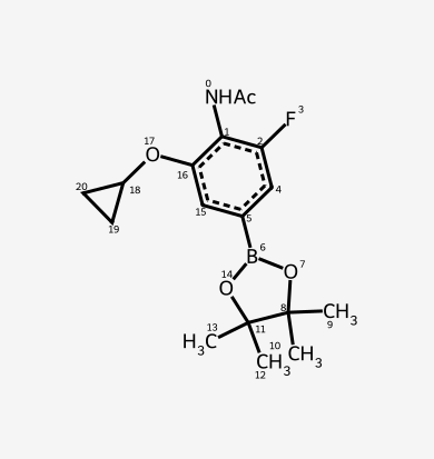 CC(=O)Nc1c(F)cc(B2OC(C)(C)C(C)(C)O2)cc1OC1CC1